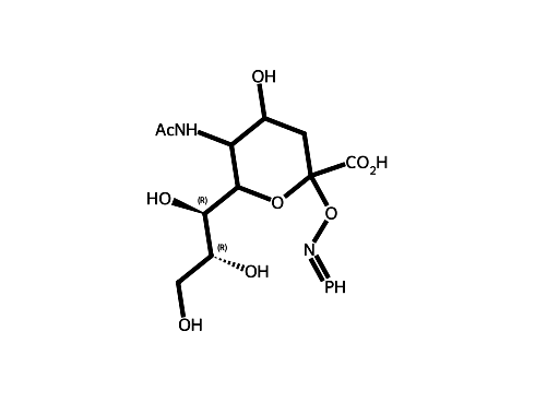 CC(=O)NC1C(O)CC(ON=P)(C(=O)O)OC1[C@H](O)[C@H](O)CO